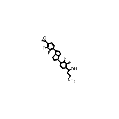 CCCC(O)c1ccc(C2=CCC3C(c4ccc(C5CO5)c(F)c4F)=CCC23)c(F)c1F